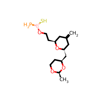 C=C1C[C@H](C[C@@H]2CCO[C@H](C)O2)O[C@@H](CCOB(P)S)C1